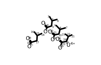 CC(C)CC(=O)[O-].CC(C)CC(=O)[O-].CC(C)CC(=O)[O-].CC(C)CC(=O)[O-].[U+4]